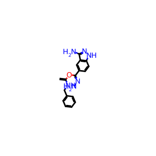 C=C(NCc1ccccc1)O/C(=N\N)c1ccc2[nH]nc(N)c2c1